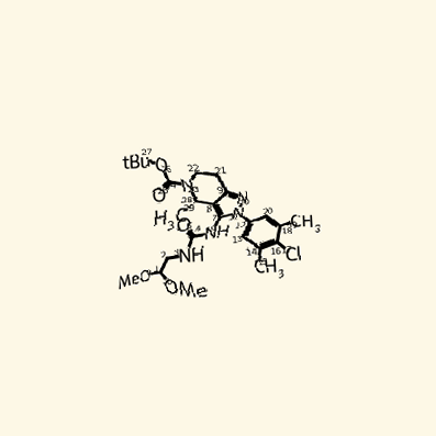 COC(CNC(=O)Nc1c2c(nn1-c1cc(C)c(Cl)c(C)c1)CCN(C(=O)OC(C)(C)C)[C@H]2C)OC